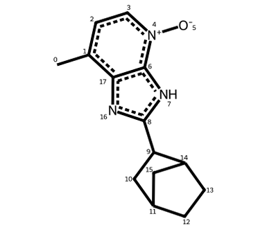 Cc1cc[n+]([O-])c2[nH]c(C3CC4CCC3C4)nc12